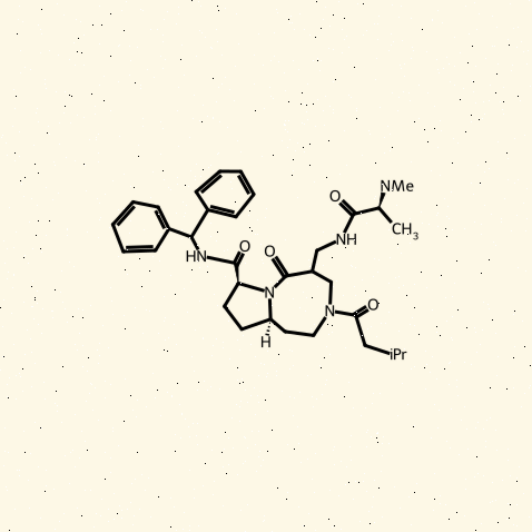 CN[C@@H](C)C(=O)NCC1CN(C(=O)CC(C)C)CC[C@H]2CC[C@@H](C(=O)NC(c3ccccc3)c3ccccc3)N2C1=O